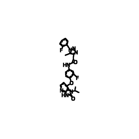 Cc1c(C2OC2Nc2ccc(Oc3ccnc4[nH]c(=O)n(C(C)C)c34)c(F)c2)nnn1-c1ccccc1F